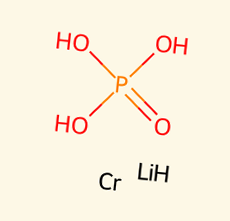 O=P(O)(O)O.[Cr].[LiH]